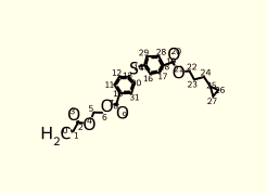 C=CC(=O)OCCOC(=O)c1ccc(Sc2ccc(C(=O)OCCCC3CC3)cc2)cc1